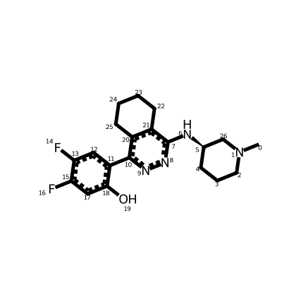 CN1CCC[C@@H](Nc2nnc(-c3cc(F)c(F)cc3O)c3c2CCCC3)C1